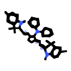 Cc1ccc2c(c1)C(C)(C)/C(=C\C=C1/CCC(/C=C/C3N(C)c4ccc(C)cc4C3(C)C)=C1N(c1ccccc1)c1ccccc1)N2C